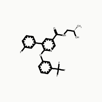 C[C@H](O)CNC(=O)c1cnc(Oc2cccc(C(F)(F)F)c2)c(-c2cccc(F)c2)c1